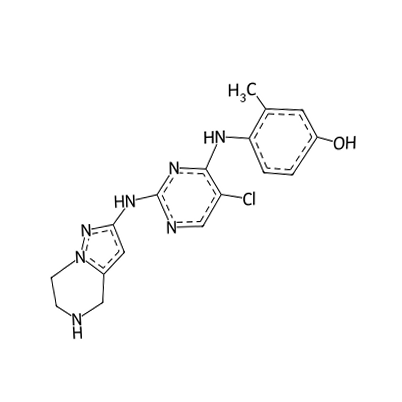 Cc1cc(O)ccc1Nc1nc(Nc2cc3n(n2)CCNC3)ncc1Cl